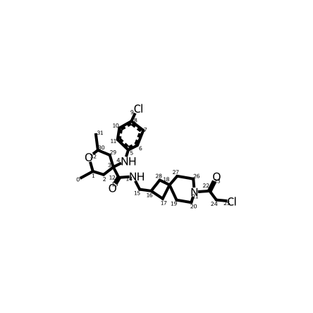 CC1CC(Nc2ccc(Cl)cc2)(C(=O)NCC2CC3(CCN(C(=O)CCl)CC3)C2)CC(C)O1